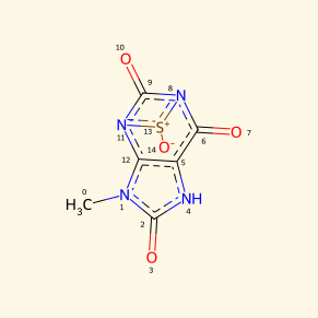 Cn1c(=O)[nH]c2c(=O)n3c(=O)n(c21)[s+]3[O-]